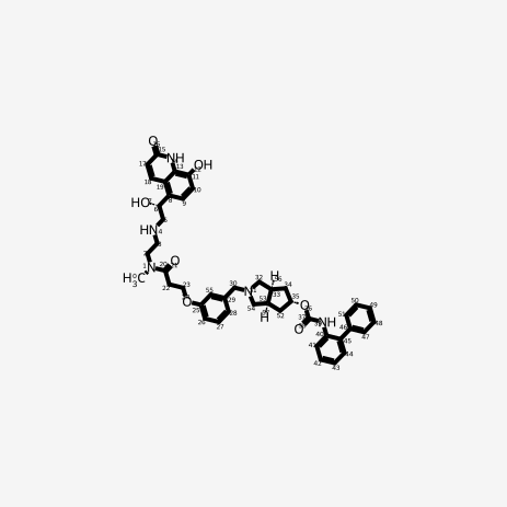 CN(CCNC[C@H](O)c1ccc(O)c2[nH]c(=O)ccc12)C(=O)CCOc1cccc(CN2C[C@H]3C[C@H](OC(=O)Nc4ccccc4-c4ccccc4)C[C@H]3C2)c1